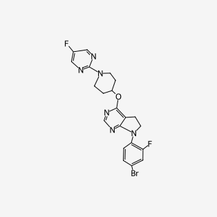 Fc1cnc(N2CCC(Oc3ncnc4c3CCN4c3ccc(Br)cc3F)CC2)nc1